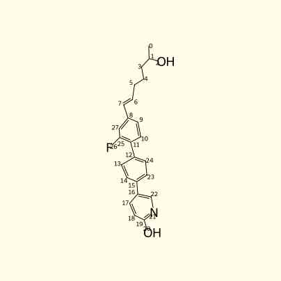 CC(O)CCC/C=C/c1ccc(-c2ccc(-c3ccc(O)nc3)cc2)c(F)c1